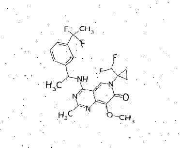 COc1c(=O)n(C2(C(F)F)CC2)cc2c(NC(C)c3cccc(C(C)(F)F)c3)nc(C)nc12